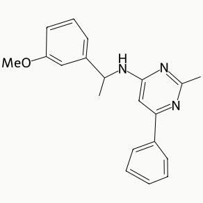 COc1cccc(C(C)Nc2cc(-c3ccccc3)nc(C)n2)c1